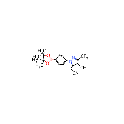 CC1C(C(F)(F)F)=NN(c2ccc(B3OC(C)(C)C(C)(C)O3)cc2)C1CC#N